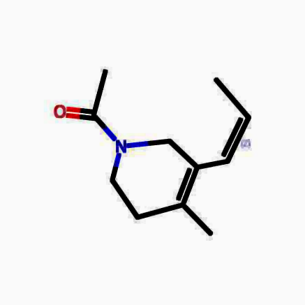 C/C=C\C1=C(C)CCN(C(C)=O)C1